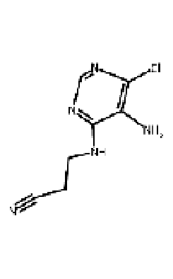 N#CCCNc1ncnc(Cl)c1N